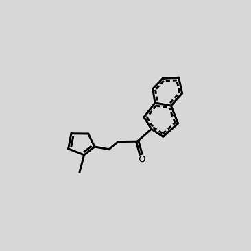 CC1=C(CCC(=O)c2ccc3ccccc3c2)CC=C1